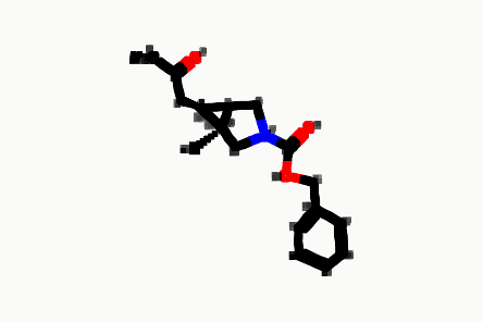 COC(=O)C[C@H]1C2CN(C(=O)OCc3ccccc3)C[C@H]21